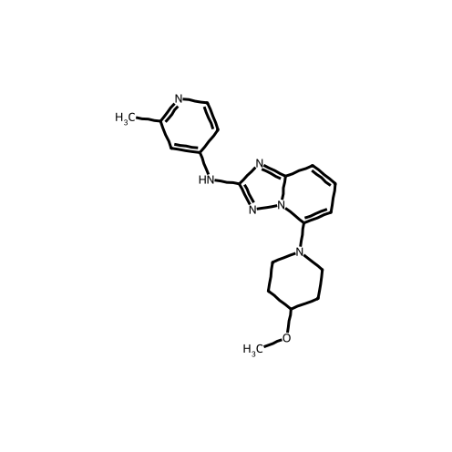 COC1CCN(c2cccc3nc(Nc4ccnc(C)c4)nn23)CC1